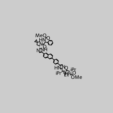 CCN(C(=O)[C@@H](NC(=O)OC)C(C)C)[C@H](c1ncc(-c2ccc(-c3ccc4cc(-c5cnc([C@@H]6CC7(CC7)CN6C(=O)[C@H](NC(=O)OC)c6ccccc6)[nH]5)ccc4c3)cc2)[nH]1)C(C)C